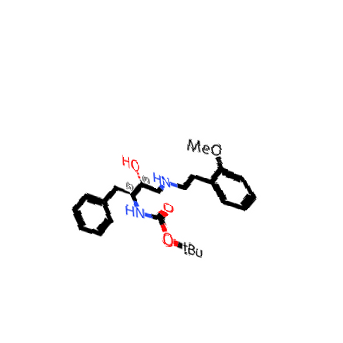 COc1ccccc1CCNC[C@@H](O)[C@H](Cc1ccccc1)NC(=O)OC(C)(C)C